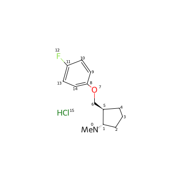 CN[C@H]1CCC[C@@H]1COc1ccc(F)cc1.Cl